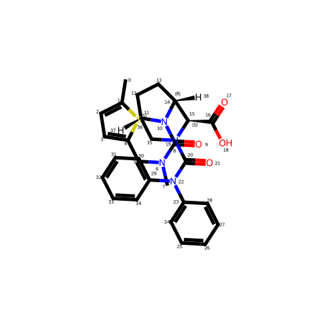 Cc1ccc(CN(C)C(=O)N2[C@H]3CC[C@@H]2[C@@H](C(=O)O)N(C(=O)N(c2ccccc2)c2ccccc2)C3)s1